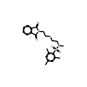 Cc1cc(C)c(S(=O)(=O)N(C)CCSCCN2C(=O)c3ccccc3C2=O)c(C)c1